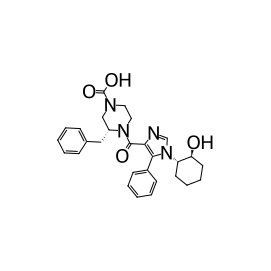 O=C(O)N1CCN(C(=O)c2ncn([C@H]3CCCC[C@@H]3O)c2-c2ccccc2)[C@H](Cc2ccccc2)C1